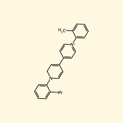 Cc1ccccc1-[n+]1ccc(C2=CCN(c3ccccc3C(C)C)C=C2)cc1